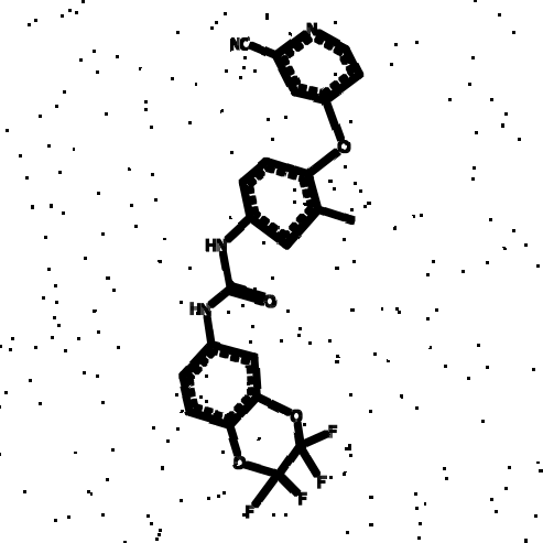 Cc1cc(NC(=O)Nc2ccc3c(c2)OC(F)(F)C(F)(F)O3)ccc1Oc1ccnc(C#N)c1